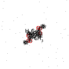 Cc1cc2c3c(cc4c(C)cc5c6c(cc1c3c46)B1c3ccccc3Oc3cc(C(=O)OCc4ccccc4)cc-5c31)B1c3ccccc3Oc3cc(C(=O)OCc4ccccc4)cc-2c31